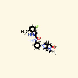 Cc1ccc(F)c2cc(C(=O)N[C@@H]3CCC[C@@H](N4C[C@H]5CC(=O)N(C)[C@H]5C4)C3)[nH]c12